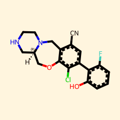 N#Cc1cc(-c2c(O)cccc2F)c(Cl)c2c1CN1CCNC[C@@H]1CO2